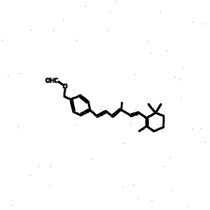 CC1=C(/C=C/C(C)=C/C=C/c2ccc(COC=O)cc2)C(C)(C)CCC1